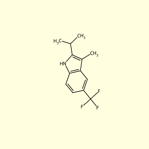 Cc1c(C(C)C)[nH]c2ccc(C(F)(F)F)cc12